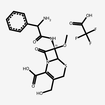 CO[C@@]1(NC(=O)C(N)c2ccccc2)C(=O)N2C(C(=O)O)=C(CO)CSC21.O=C(O)C(F)(F)F